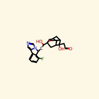 O=CCC1(O)C2CC3CC1CC(C(O)CC1c4c(F)cccc4-c4cncn41)(C3)C2